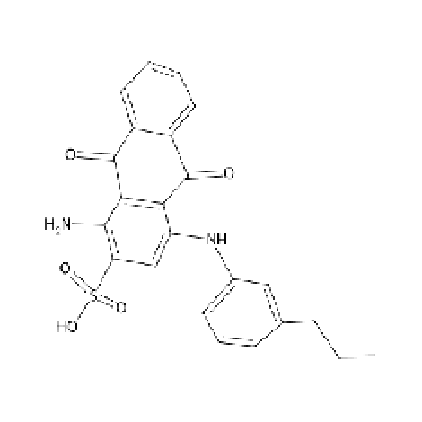 C=CCc1cccc(Nc2cc(S(=O)(=O)O)c(N)c3c2C(=O)c2ccccc2C3=O)c1